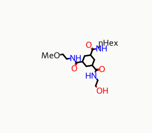 CCCCCCNC(=O)C1CC(C(=O)NCCO)CC(C(=O)NCCOC)C1